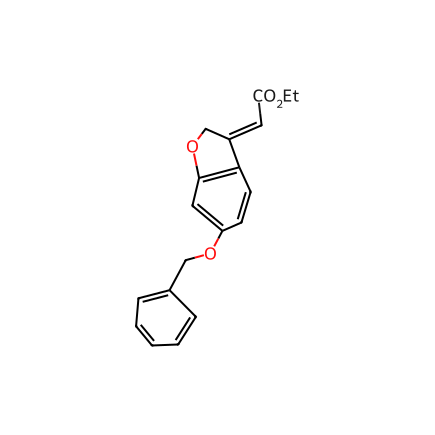 CCOC(=O)/C=C1\COc2cc(OCc3ccccc3)ccc21